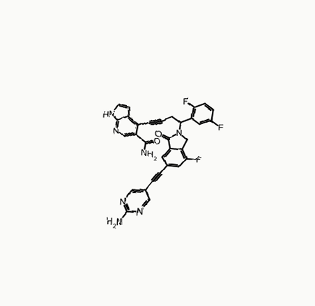 NC(=O)c1cnc2[nH]ccc2c1C#CCC(c1cc(F)ccc1F)N1Cc2c(F)cc(C#Cc3cnc(N)nc3)cc2C1=O